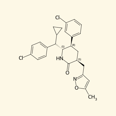 Cc1cc(C[C@@H]2C[C@H](c3cccc(Cl)c3)[C@@H](C(c3ccc(Cl)cc3)C3CC3)NC2=O)no1